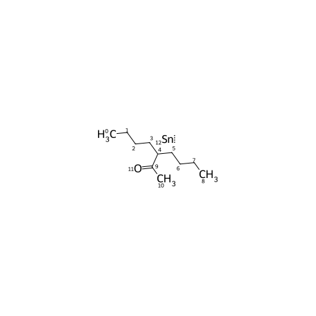 CCCCC(CCCC)C(C)=O.[Sn]